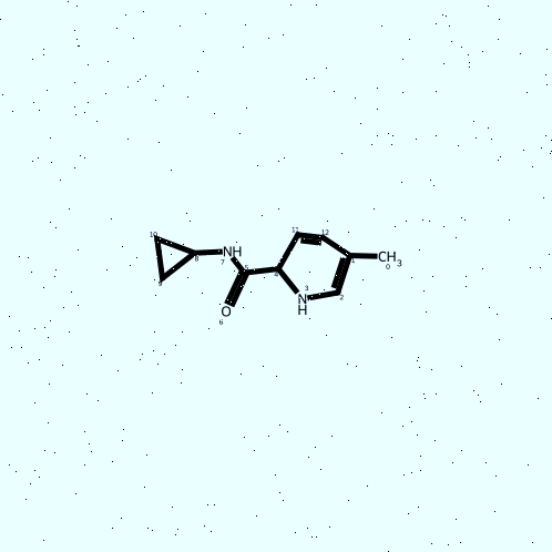 CC1=CNC(C(=O)NC2CC2)C=C1